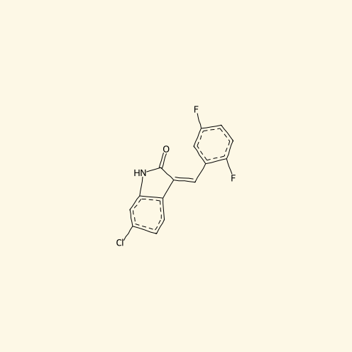 O=C1Nc2cc(Cl)ccc2/C1=C/c1cc(F)ccc1F